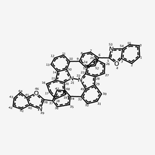 c1ccc2oc(-c3ccc(-c4cccc5c6ccccc6n(-n6c7ccccc7c7cccc(-c8ccc(-c9nc%10ccccc%10o9)cc8)c76)c45)cc3)nc2c1